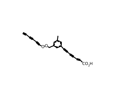 C#CC#CC#COOCc1cc(C)cc(C#CC#CC#CC(=O)O)c1